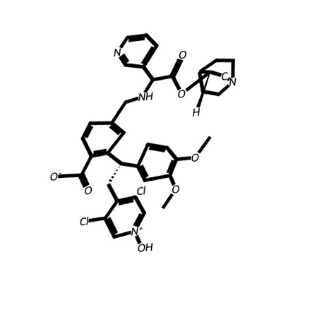 COc1ccc([C@H](Cc2c(Cl)c[n+](O)cc2Cl)c2cc(CNC(C(=O)O[C@H]3CN4CCC3CC4)c3cccnc3)ccc2C(=O)[O-])cc1OC